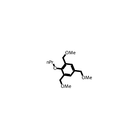 CCCOc1c(COC)cc(COC)cc1COC